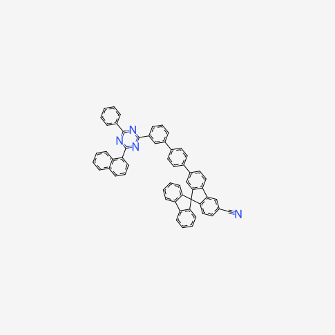 N#Cc1ccc2c(c1)-c1ccc(-c3ccc(-c4cccc(-c5nc(-c6ccccc6)nc(-c6cccc7ccccc67)n5)c4)cc3)cc1C21c2ccccc2-c2ccccc21